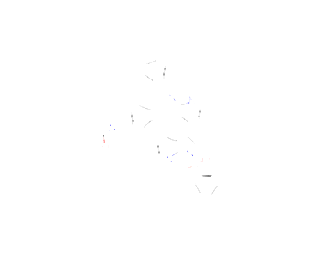 Cc1ccc(S(=O)(=O)n2cc(-c3ccnc(NCc4ccccc4)c3)c3c(Oc4ccc5c(c4)CN(C(=O)O)CC5)ccnc32)cc1